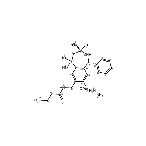 CCCC[C@]1(CC)CS(O)(O)c2cc(CNC(=O)CCS(=O)(=O)O)c(OC)cc2[C@@H](c2ccccc2)N1.N.N